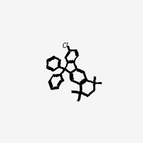 CC1(C)CCC(C)(C)c2cc3c(cc21)-c1ccc(Cl)cc1C3(c1ccccc1)c1ccccc1